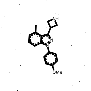 COc1ccc(-n2nc(C3CNC3)c3c(C)cccc32)cc1